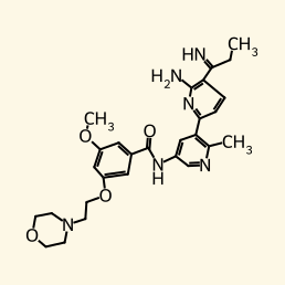 CCC(=N)c1ccc(-c2cc(NC(=O)c3cc(OC)cc(OCCN4CCOCC4)c3)cnc2C)nc1N